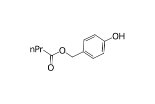 CCCC(=O)OCc1ccc(O)cc1